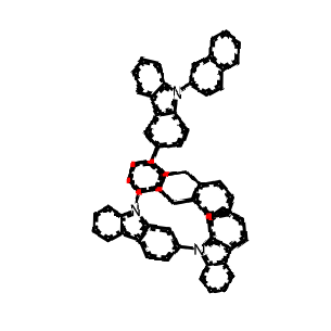 c1ccc2c(c1)C1c3ccccc3C2c2c(-n3c4ccccc4c4ccc(-n5c6ccccc6c6ccccc65)cc43)ccc(-c3ccc4c(c3)c3ccccc3n4-c3ccc4ccccc4c3)c21